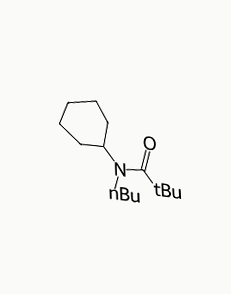 CCCCN(C(=O)C(C)(C)C)C1CCCCC1